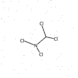 ClC(Cl)N(Cl)Cl